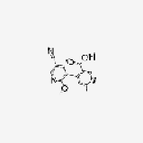 COc1ncc(C#N)cc1-c1cc(C)ncc1C(=O)O